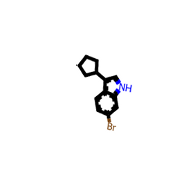 Brc1ccc2c(C3C[CH]CC3)c[nH]c2c1